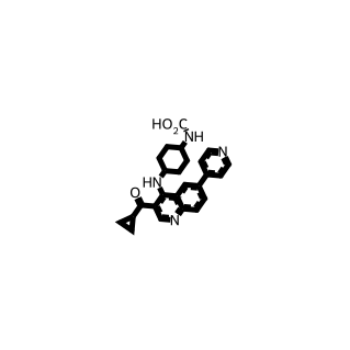 O=C(O)NC1CCC(Nc2c(C(=O)C3CC3)cnc3ccc(-c4ccncc4)cc23)CC1